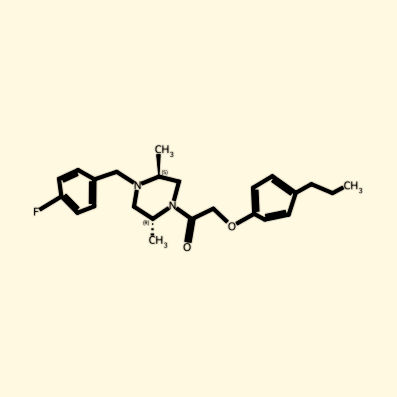 CCCc1ccc(OCC(=O)N2C[C@H](C)N(Cc3ccc(F)cc3)C[C@H]2C)cc1